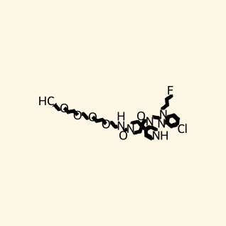 C#CCOCCOCCOCCOCCNC(=O)N1CCC2(CC1)C(=O)N(Cc1nc3cc(Cl)ccc3n1CCCCF)C1=C2C=CNC1